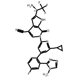 Cn1cnnc1-c1cc(F)ccc1-c1cc(C2CC2)nc(-n2cc(C#N)c3cc([C@@H](N)C(F)(F)F)[nH]c3c2=O)c1